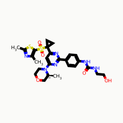 Cc1nc(C)c(S(=O)(=O)C2(c3cc(N4CCOC[C@@H]4C)nc(-c4ccc(NC(=O)NCCO)cc4)n3)CC2)s1